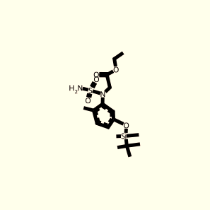 CCOC(=O)CN(c1cc(O[Si](C)(C)C(C)(C)C)ccc1C)S(N)(=O)=O